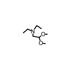 CCN(CC)CC(OC)OC